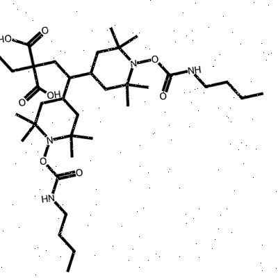 CCCCNC(=O)ON1C(C)(C)CC(C(CC(CC)(C(=O)O)C(=O)O)C2CC(C)(C)N(OC(=O)NCCCC)C(C)(C)C2)CC1(C)C